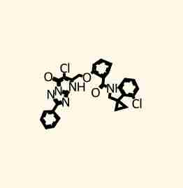 O=C(NCC1(c2ccccc2Cl)CC1)c1ccccc1OCc1[nH]c2nc(-c3ccccc3)nn2c(=O)c1Cl